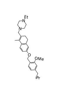 CCN1CCN(CC2=C(C)c3ccc(OCc4ccc(CC(C)C)cc4OC)cc3CC2)CC1